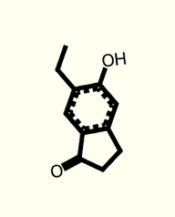 CCc1cc2c(cc1O)CCC2=O